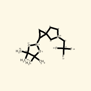 CC1(C)OB(C2CC23CCN(CC(F)(F)F)C3)OC1(C)C